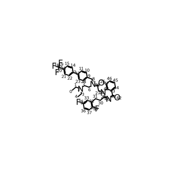 CCN(CC)CCN(Cc1ccc(-c2ccc(C(F)(F)F)cc2)cc1)C(=O)Cn1c(CCc2cc(F)ccc2F)nc(=O)c2ccccc21